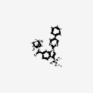 CS(=O)(=O)c1cn(-c2ncc(-c3ccccc3)cn2)c2cc(C(=O)N3C[C@H]4C[C@@H]3CO4)ccc12